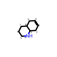 C1=CCC2NCCCC2C1